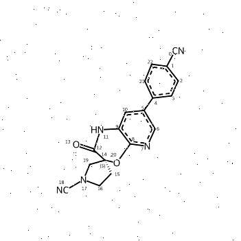 N#Cc1ccc(-c2cnc3c(c2)NC(=O)[C@@]2(CCN(C#N)C2)O3)cc1